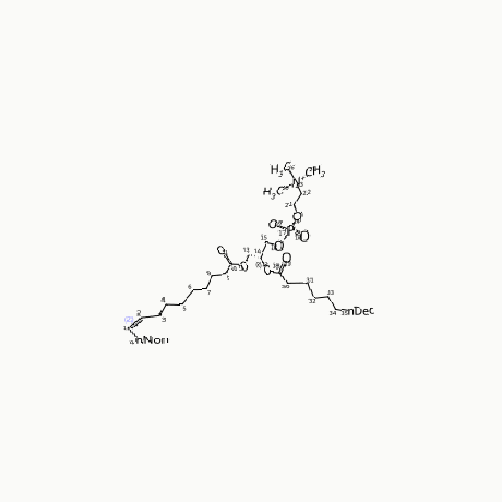 CCCCCCCCC/C=C\CCCCCCCC(=O)OC[C@H](COP(=O)([O-])OCC[N+](C)(C)C)OC(=O)CCCCCCCCCCCCCCC